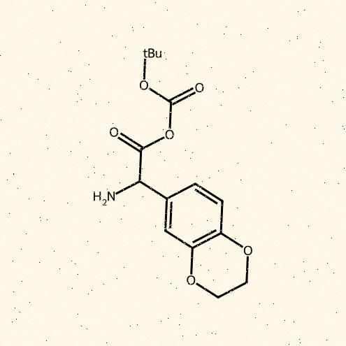 CC(C)(C)OC(=O)OC(=O)C(N)c1ccc2c(c1)OCCO2